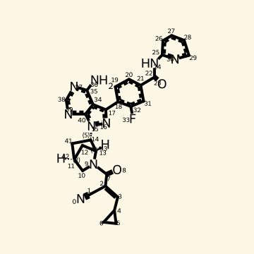 N#CC(=CC1CC1)C(=O)N1C[C@@H]2C[C@@H]1[C@@H](n1nc(-c3ccc(C(=O)Nc4ccccn4)cc3F)c3c(N)ncnc31)C2